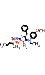 C=C/C=C(\C)S(=O)(=O)NC(=O)N[C@@H](Cc1ccccc1)C(=C)N(CC)c1ccc(OC)cc1